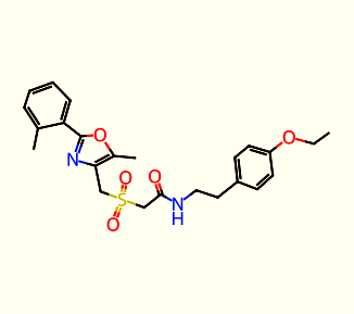 CCOc1ccc(CCNC(=O)CS(=O)(=O)Cc2nc(-c3ccccc3C)oc2C)cc1